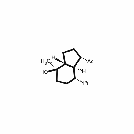 CC(=O)[C@H]1CC[C@@H]2[C@@H]1[C@H](C(C)C)CC[C@@]2(C)O